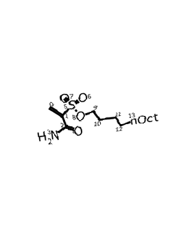 C=C(C(N)=O)S(=O)(=O)OCCCCCCCCCCCC